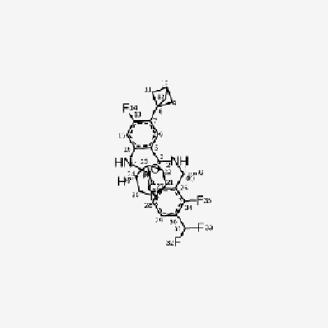 C[C@@H](NC(=O)c1cc(C23CC(C2)C3)c(F)cc1N[C@@H]1CN2CCC1CC2)c1cccc(C(F)F)c1F